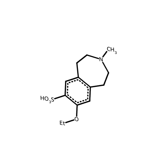 CCOc1cc2c(cc1S(=O)(=O)O)CCN(C)CC2